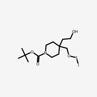 CC(C)(C)OC(=O)N1CCC(CCO)(COSI)CC1